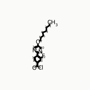 CCCCCCCCOc1cnc(-c2ccc(C(=O)Cl)cc2F)nc1